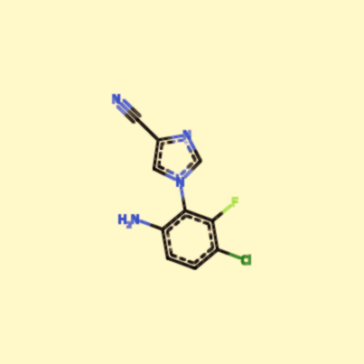 N#Cc1cn(-c2c(N)ccc(Cl)c2F)cn1